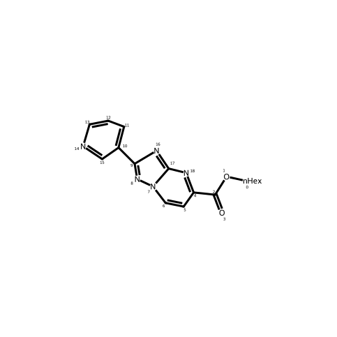 CCCCCCOC(=O)c1ccn2nc(-c3cccnc3)nc2n1